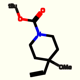 C=CC1(OC)CCN(C(=O)OC(C)(C)C)CC1